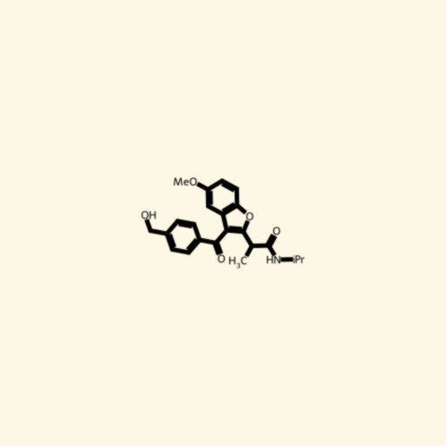 COc1ccc2oc(C(C)C(=O)NC(C)C)c(C(=O)c3ccc(CO)cc3)c2c1